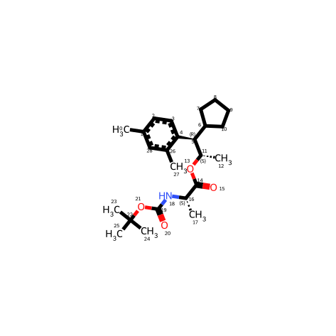 Cc1ccc([C@@H](C2CCCC2)[C@H](C)OC(=O)[C@H](C)NC(=O)OC(C)(C)C)c(C)c1